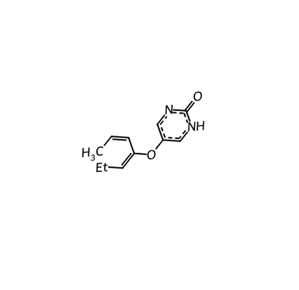 C/C=C\C(=C/CC)Oc1cnc(=O)[nH]c1